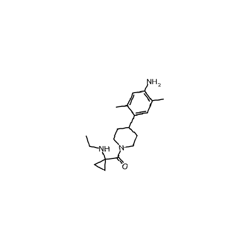 CCNC1(C(=O)N2CCC(c3cc(C)c(N)cc3C)CC2)CC1